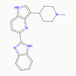 CN1CCC(c2c[nH]c3ccc(-c4nc5ccccc5[nH]4)nc23)CC1